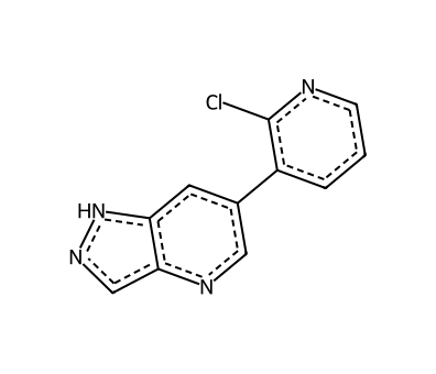 Clc1ncccc1-c1cnc2cn[nH]c2c1